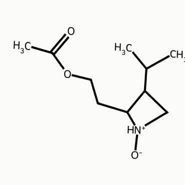 CC(=O)OCCC1C(C(C)C)C[NH+]1[O-]